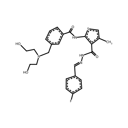 Cc1csc(NC(=O)c2cccc(CN(CCO)CCO)c2)c1C(=O)NN=Cc1ccc(F)cc1